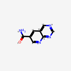 NC(=O)c1cnc2ncncc2c1